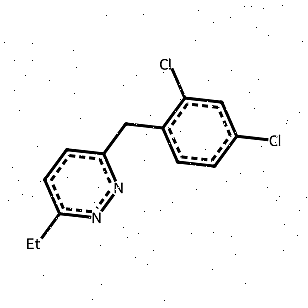 CCc1ccc(Cc2ccc(Cl)cc2Cl)nn1